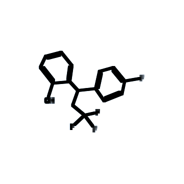 Oc1ccccc1C(CC(F)(F)F)c1ccc(F)cc1